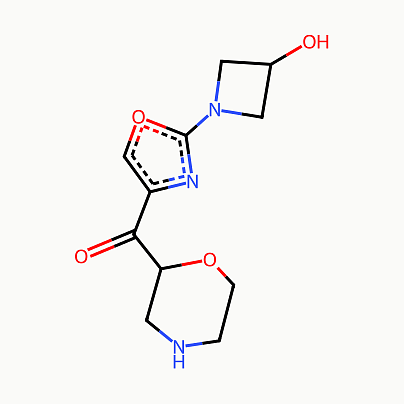 O=C(c1coc(N2CC(O)C2)n1)C1CNCCO1